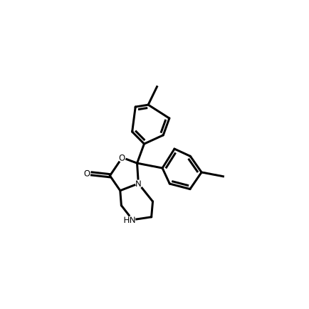 Cc1ccc(C2(c3ccc(C)cc3)OC(=O)C3CNCCN32)cc1